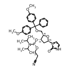 COc1ccc(C(OC[C@H]2O[C@@H](n3cc[nH]c3=O)C[C@@H]2OP(OCCC#N)N(C(C)C)C(C)C)(c2ccccc2)c2ccc(OC)cc2)cc1